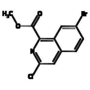 COC(=O)c1nc(Cl)cc2ccc(Br)cc12